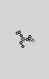 C[Si]1(C)c2ccccc2-c2cc(-c3nc(-c4ccc(-c5cccc6ccccc56)cc4)nc(-c4cccc(-c5ccccc5)c4)n3)ccc21